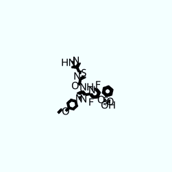 CCOC1CCC(n2cc(NC(=O)c3csc(-c4cn[nH]c4)n3)c(-c3nc(F)ccc3F)n2)CC1.O=S(=O)(O)c1ccccc1